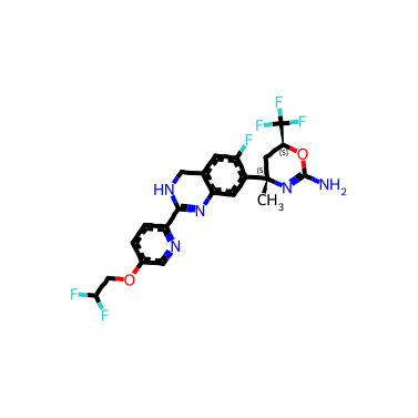 C[C@@]1(c2cc3c(cc2F)CNC(c2ccc(OCC(F)F)cn2)=N3)C[C@@H](C(F)(F)F)OC(N)=N1